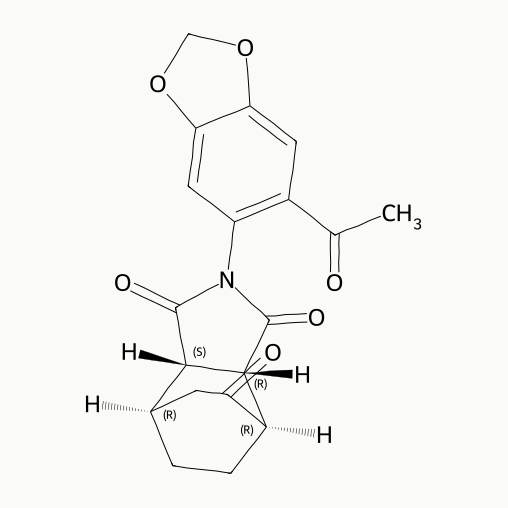 CC(=O)c1cc2c(cc1N1C(=O)[C@H]3[C@@H]4CC[C@@H](C(=O)C4)[C@H]3C1=O)OCO2